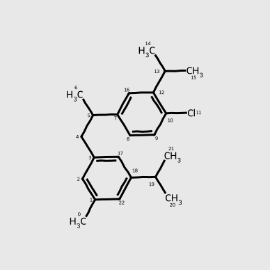 Cc1cc(CC(C)c2ccc(Cl)c(C(C)C)c2)cc(C(C)C)c1